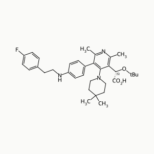 Cc1nc(C)c([C@H](OC(C)(C)C)C(=O)O)c(N2CCC(C)(C)CC2)c1-c1ccc(NCCc2ccc(F)cc2)cc1